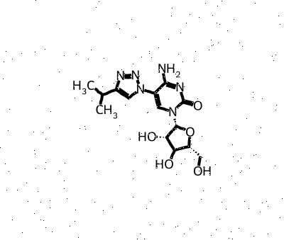 CC(C)c1cn(-c2cn([C@@H]3O[C@H](CO)C(O)[C@@H]3O)c(=O)nc2N)nn1